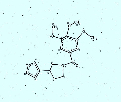 COc1cc(C(=O)N2CC[C](c3cccs3)C2)cc(OC)c1OC